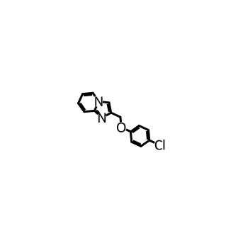 Clc1ccc(OCc2cn3ccccc3n2)cc1